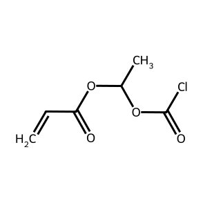 C=CC(=O)OC(C)OC(=O)Cl